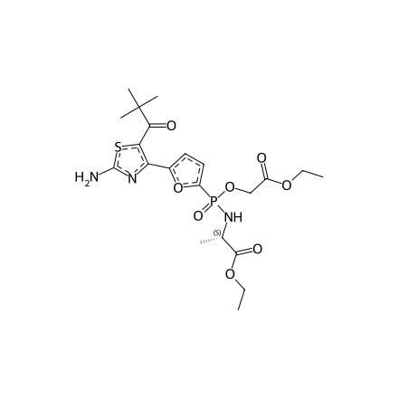 CCOC(=O)COP(=O)(N[C@@H](C)C(=O)OCC)c1ccc(-c2nc(N)sc2C(=O)C(C)(C)C)o1